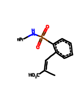 CCCNS(=O)(=O)c1ccccc1C=C(C)C(=O)O